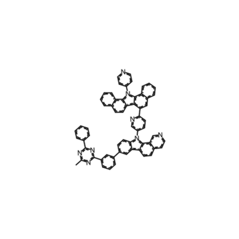 Cc1nc(-c2ccccc2)nc(-c2cccc(-c3ccc4c(c3)c3ccc5ccncc5c3n4-c3ccc(-c4cc5ccccc5c5c4c4ccc6ccccc6c4n5-c4ccncc4)nc3)c2)n1